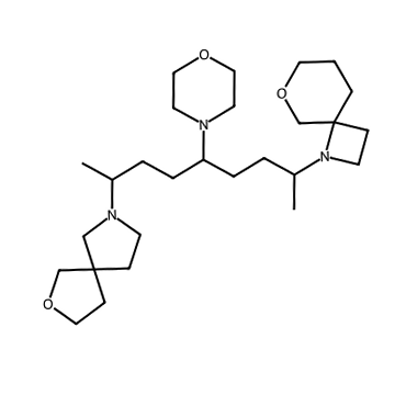 CC(CCC(CCC(C)N1CCC12CCCOC2)N1CCOCC1)N1CCC2(CCOC2)C1